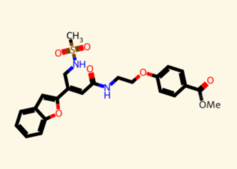 COC(=O)c1ccc(OCCNC(=O)C=C(CNS(C)(=O)=O)c2cc3ccccc3o2)cc1